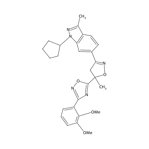 COc1cccc(-c2noc(C3(C)CC(c4ccc5c(C)nn(C6CCCC6)c5c4)=NO3)n2)c1OC